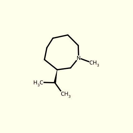 CC(C)[C@H]1CCCCCN(C)C1